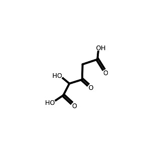 O=C(O)CC(=O)C(O)C(=O)O